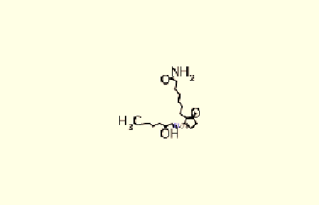 CCCCCC(O)/C=C/[C@H]1CCC(=O)C1CCCCCCC(N)=O